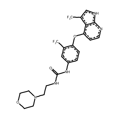 O=C(NCCN1CCOCC1)Nc1ccc(Oc2ccnc3[nH]cc(C(F)(F)F)c23)c(C(F)(F)F)c1